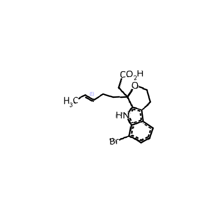 C/C=C/CCC1(CC(=O)O)OCCc2c1[nH]c1c(Br)cccc21